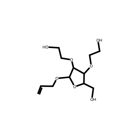 C=CCOC1OC(CO)C(OCCO)C1OCCO